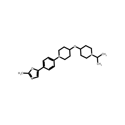 Cc1ncc(-c2ccc(N3CCC(OC4CCN(C(C)C)CC4)CC3)cc2)o1